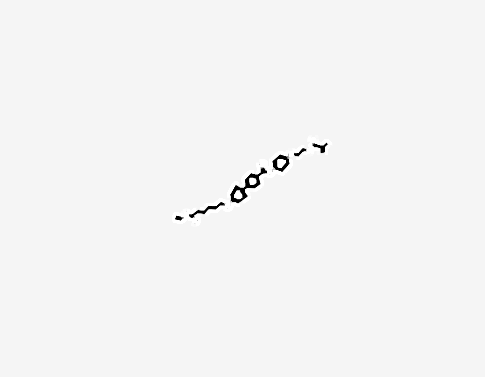 C=COC(=O)CCCCCOc1ccc(-c2ccc(C(=O)Oc3ccc(OCCOC(=O)C(=C)C)cc3)cc2)cc1